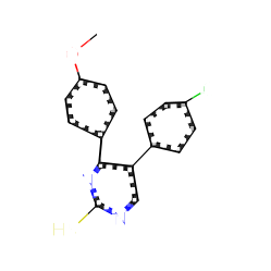 COc1ccc(-c2nc(S)ncc2-c2ccc(Cl)cc2)cc1